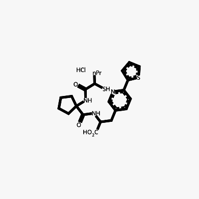 CCCC(S)C(=O)NC1(C(=O)NC(Cc2ccc(-c3cccs3)nc2)C(=O)O)CCCC1.Cl